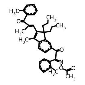 CCCC1(CCC)C(/C=C(\C)C(=O)c2ccccc2C)=C(C)c2ccc(C(=O)/C(=N/OC(C)=O)c3ccccc3C)cc21